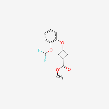 COC(=O)C1CC(Oc2ccccc2OC(F)F)C1